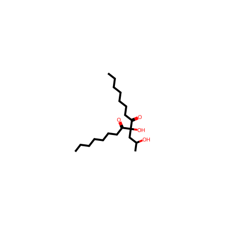 CCCCCCCC(=O)C(O)(CC(C)O)C(=O)CCCCCCC